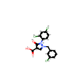 O=C(O)c1cn(Cc2cccc(Cl)c2)n(-c2ccc(Cl)cc2Cl)c1=O